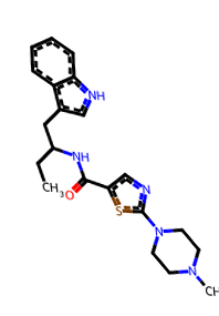 CCC(Cc1c[nH]c2ccccc12)NC(=O)c1cnc(N2CCN(C)CC2)s1